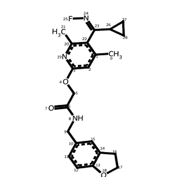 Cc1cc(OCC(=O)NCc2ccc3c(c2)CCO3)nc(C)c1/C(=N\F)C1CC1